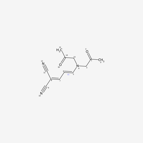 CC(=O)CN(/C=C/C=C(C#N)C#N)CC(C)=O